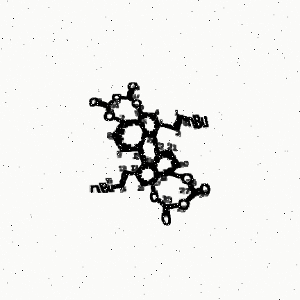 CCCCC=Cc1cc2c3c(ccc4c5c(C=CCCCC)cc6c7c(ccc(c1c34)c75)OC(=O)OC(=O)O6)OC(=O)OC(=O)O2